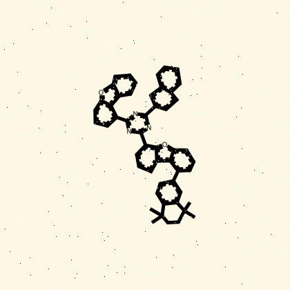 CC1(C)CCC(C)(C)c2cc(-c3cccc4oc5c(-c6nc(-c7ccc8ccccc8c7)nc(-c7cccc8oc9ccccc9c78)n6)cccc5c34)ccc21